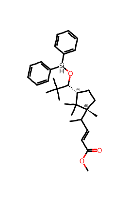 COC(=O)C=CC(C)[C@@]1(C)CC[C@@H](C(O[SiH](c2ccccc2)c2ccccc2)C(C)(C)C)C1(C)C